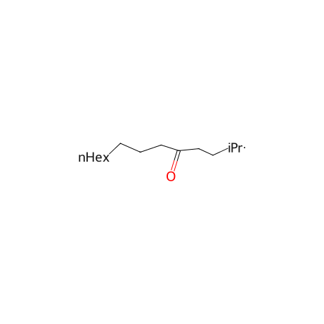 CCCCCCCCCC(=O)CC[C](C)C